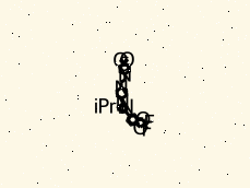 CC(C)c1cc(-c2ccc3c(c2)OC(F)(F)O3)nn1C1CCN(CCN2CCS(=O)(=O)CC2)CC1